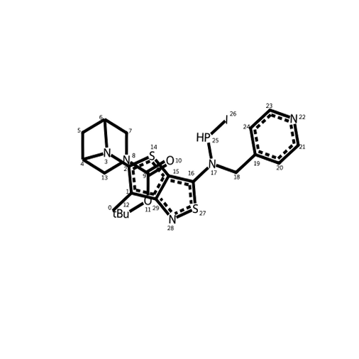 Cc1c(N2C3CC2CN(C(=O)OC(C)(C)C)C3)sc2c(N(Cc3ccncc3)PI)snc12